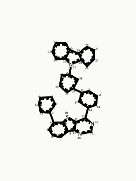 c1ccc(-c2cccc3c2sc2c(-c4cccc(-c5cccc(-n6c7ccccc7c7ccccc76)c5)c4)ncnc23)cc1